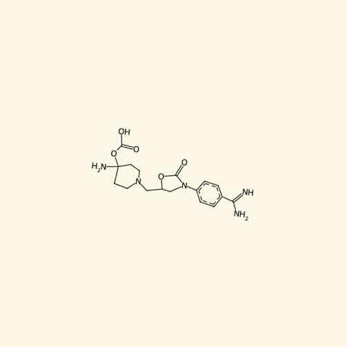 N=C(N)c1ccc(N2CC(CN3CCC(N)(OC(=O)O)CC3)OC2=O)cc1